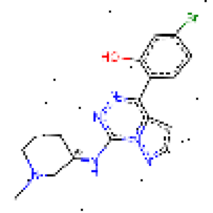 CN1CCC[C@@H](Nc2nnc(-c3ccc(Br)cc3O)c3ccnn23)C1